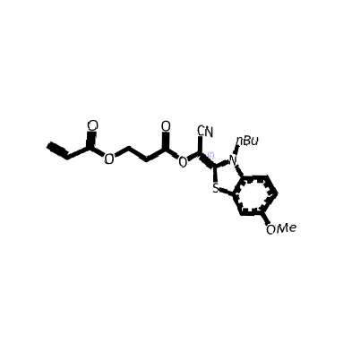 C=CC(=O)OCCC(=O)O/C(C#N)=C1\Sc2cc(OC)ccc2N1CCCC